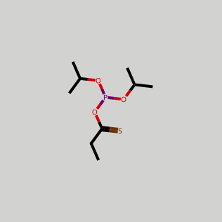 CCC(=S)OP(OC(C)C)OC(C)C